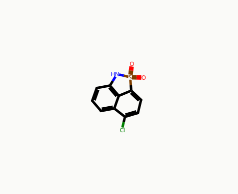 O=S1(=O)Nc2cccc3c(Cl)ccc1c23